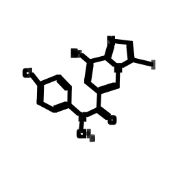 CN(C(=O)c1cc(Br)c2ncc(I)n2c1)c1ccc(Cl)cc1